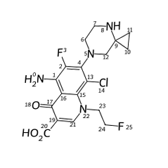 Nc1c(F)c(N2CCNC3(CC3)C2)c(Cl)c2c1c(=O)c(C(=O)O)cn2CCF